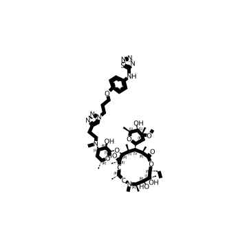 CC[C@H]1OC(=O)[C@H](C)[C@@H](C2C[C@@](C)(OC)[C@@H](O)[C@H](C)O2)[C@H](C)[C@@H](O[C@@H]2O[C@H](C)C[C@H](N(C)CCc3cn(CCCOc4ccc(Nc5nnns5)cc4)nn3)[C@H]2O)[C@](C)(O)C[C@@H](C)CN(C)[C@H](C)[C@@H](O)[C@]1(C)O